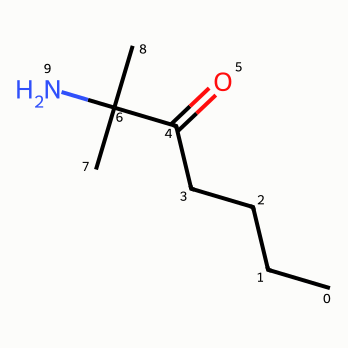 CCCCC(=O)C(C)(C)N